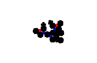 CC(C)(C)c1ccc(N(c2ccc3c(c2)c2cc(N(c4ccc(C(C)(C)C)cc4)c4cccc5c4oc4ccccc45)cc4c2n3-c2ccccc2C42c3ccc4ccccc4c3-c3c2ccc2ccccc32)c2cccc3c2oc2ccccc23)cc1